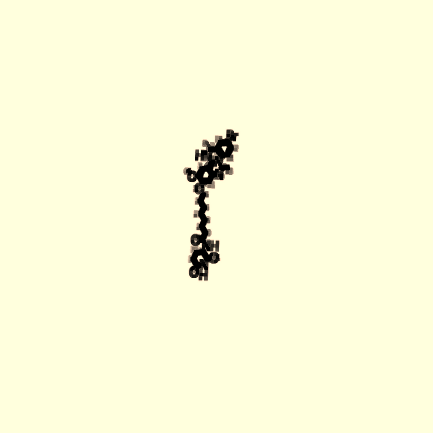 COc1cc2c(N[C@H](C)c3cccc(Br)c3)nc(C)nc2cc1OCCCCCCCC(=O)NC1CCC(=O)NC1=O